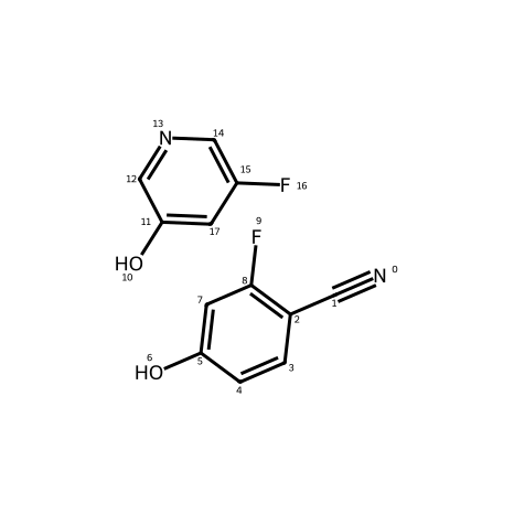 N#Cc1ccc(O)cc1F.Oc1cncc(F)c1